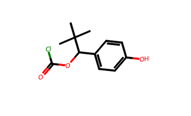 CC(C)(C)C(OC(=O)Cl)c1ccc(O)cc1